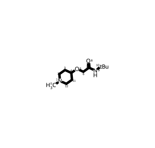 CN1CCC(OCC(=O)NC(C)(C)C)CC1